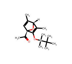 CC(=O)[C@@]12C=C(C)[C@@H](O1)C(C)=C2O[Si](C)(C)C(C)(C)C